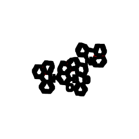 c1ccc(-c2ccccc2N(c2ccccc2)c2cc3c(c4ccccc24)B2c4c(cccc4Oc4cc(N(c5ccccc5)c5ccccc5-c5ccccc5)c5ccccc5c42)O3)cc1